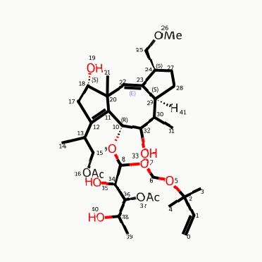 C=CC(C)(C)OCOC(O[C@@H]1C2=C(C(C)COC(C)=O)C[C@H](O)C2(C)/C=C2/[C@@H](COC)CC[C@H]2C(C)C1O)C(O)C(OC(C)=O)C(C)O